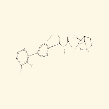 O=C(NC1CCc2cc(-c3cccc(F)c3F)ccc21)O[C@H]1CN2CCC1CC2